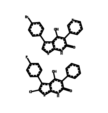 O=c1[nH]c2sc(Cl)c(-c3ccc(F)cc3)c2c(O)c1-c1ccccc1.O=c1[nH]c2scc(-c3ccc(Br)cc3)c2c(O)c1-c1cccnc1